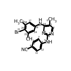 Cc1cnc(Nc2ccc(C#N)cc2)nc1Nc1cc(C)c(Br)c(C)c1